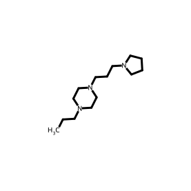 CCCN1CCN(CCCN2CCCC2)CC1